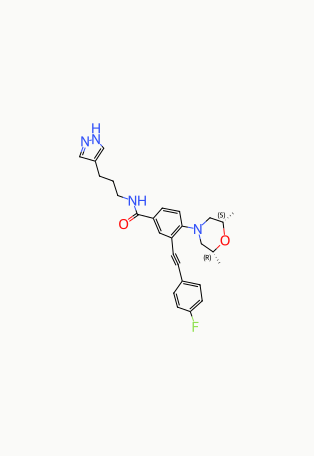 C[C@@H]1CN(c2ccc(C(=O)NCCCc3cn[nH]c3)cc2C#Cc2ccc(F)cc2)C[C@H](C)O1